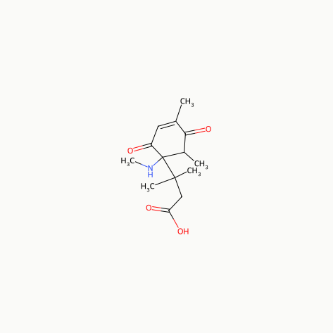 CNC1(C(C)(C)CC(=O)O)C(=O)C=C(C)C(=O)C1C